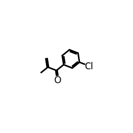 C=C(C)C(=O)c1cccc(Cl)c1